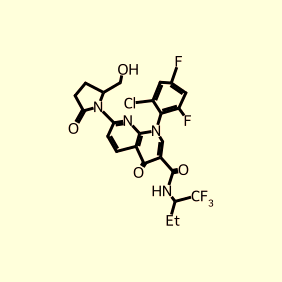 CCC(NC(=O)c1cn(-c2c(F)cc(F)cc2Cl)c2nc(N3C(=O)CCC3CO)ccc2c1=O)C(F)(F)F